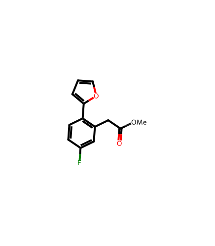 COC(=O)Cc1cc(F)ccc1-c1ccco1